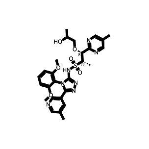 COc1cccc(OC)c1-n1c(NS(=O)(=O)[C@@H](C)[C@H](OCC(C)O)c2ncc(C)cn2)nnc1-c1cncc(C)c1